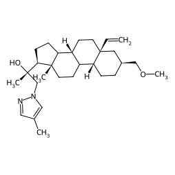 C=C[C@]12CC[C@@H]3C(CC[C@@]4(C)C3CC[C@@H]4[C@@](C)(O)Cn3cc(C)cn3)[C@H]1CC[C@H](COC)C2